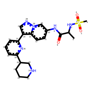 CC(NS(C)(=O)=O)C(=O)Nc1ccc2c(-c3cccc(C4CCCNC4)n3)cnn2c1